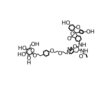 C=CC(=O)NC(Cc1cn(CCOCCOc2ccc(CCO[C@@H]3O[C@H](CO)[C@@H](O)[C@H](O)[C@H]3O)cc2)nn1)C(=O)Nc1ccc2c(c1)C(=O)OC21c2ccc(O)cc2Oc2cc(O)ccc21